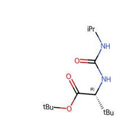 CC(C)NC(=O)N[C@@H](C(=O)OC(C)(C)C)C(C)(C)C